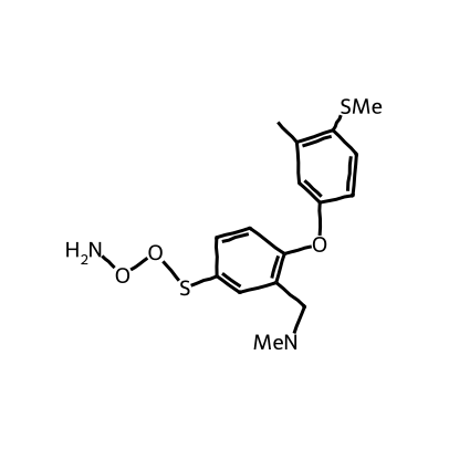 CNCc1cc(SOON)ccc1Oc1ccc(SC)c(C)c1